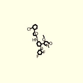 CCOc1cc(=O)n(C)cc1-c1cc(NCc2ccc(-c3ccccc3Cl)o2)ccc1Oc1ccc(F)cc1F